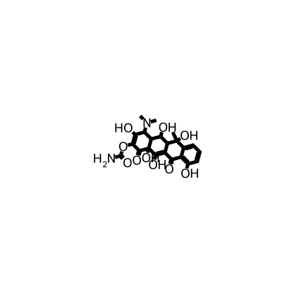 CN(C)C1C(O)=C(OC(N)=O)C(=O)C2(O)C(O)=C3C(=O)c4c(O)cccc4C(C)(O)C3C(O)C12